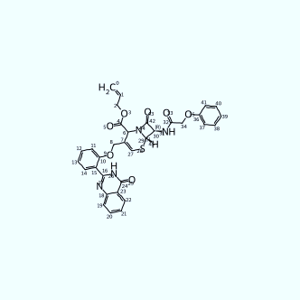 C=CCOC(=O)C1C(COc2ccccc2-c2nc3ccccc3c(=O)[nH]2)=CS[C@H]2[C@H](NC(=O)COc3ccccc3)C(=O)N12